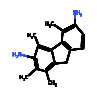 Cc1c(C)c2c(c(C)c1N)-c1c(ccc(N)c1C)C2